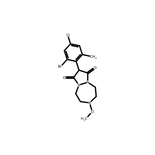 CON1CCN2C(=O)C(c3c(C)cc(Cl)cc3Br)C(=O)N2CC1